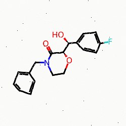 O=C1[C@@H]([C@@H](O)c2ccc(F)cc2)OCCN1Cc1ccccc1